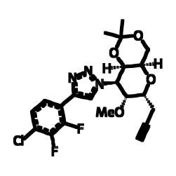 C#CC[C@H]1O[C@@H]2COC(C)(C)O[C@@H]2[C@H](n2cc(-c3ccc(Cl)c(F)c3F)nn2)[C@H]1OC